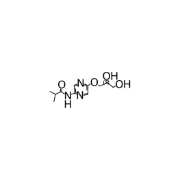 CC(C)C(=O)Nc1cnc(OC[C@@H](O)CO)cn1